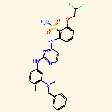 Cc1ccc(Nc2nccc(Nc3cccc(OCC(F)F)c3S(N)(=O)=O)n2)cc1N(C)Cc1ccccc1